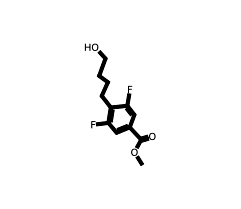 COC(=O)c1cc(F)c(CCCCO)c(F)c1